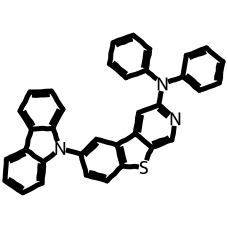 c1ccc(N(c2ccccc2)c2cc3c(cn2)sc2ccc(-n4c5ccccc5c5ccccc54)cc23)cc1